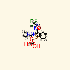 O=C(Nc1sc2c(c1-c1nc(C(F)(F)F)no1)CCCCC2)C1=CCCC1.O=C(O)O